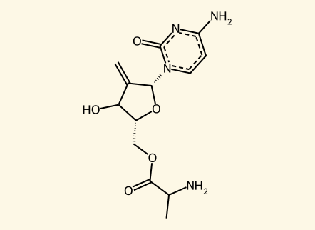 C=C1C(O)[C@@H](COC(=O)C(C)N)O[C@H]1n1ccc(N)nc1=O